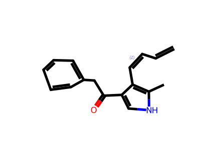 C=C/C=C\c1c(C(=O)Cc2ccccc2)c[nH]c1C